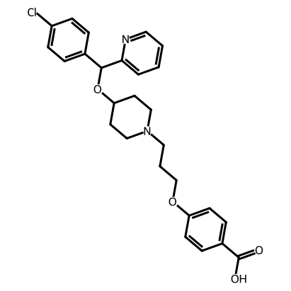 O=C(O)c1ccc(OCCCN2CCC(OC(c3ccc(Cl)cc3)c3ccccn3)CC2)cc1